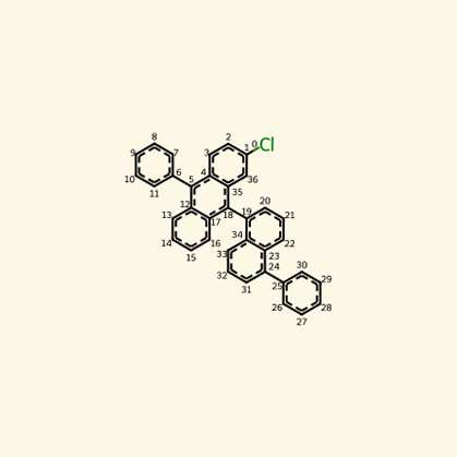 Clc1ccc2c(-c3ccccc3)c3ccccc3c(-c3cccc4c(-c5ccccc5)cccc34)c2c1